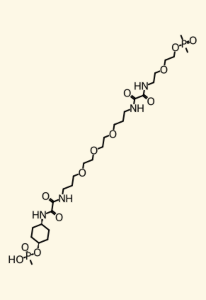 CP(C)(=O)OCCOCCNC(=O)C(=O)NCCCOCCOCCOCCCNC(=O)C(=O)N[C@H]1CC[C@@H](OP(C)(=O)O)CC1